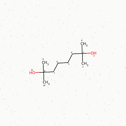 CC(C)(O)CCCCC(C)(C)O